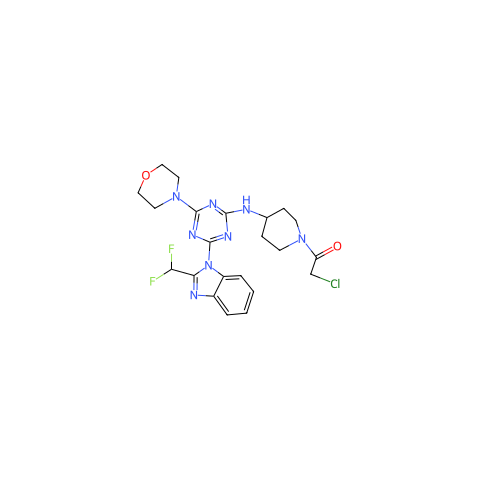 O=C(CCl)N1CCC(Nc2nc(N3CCOCC3)nc(-n3c(C(F)F)nc4ccccc43)n2)CC1